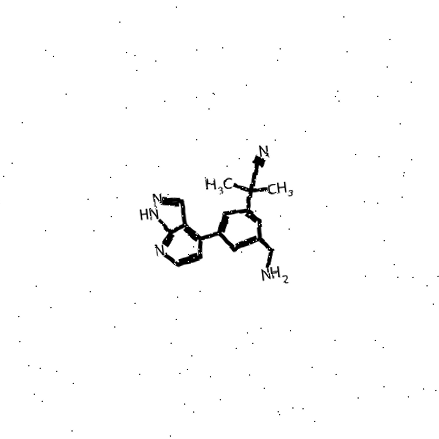 CC(C)(C#N)c1cc(CN)cc(-c2ccnc3[nH]ncc23)c1